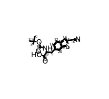 CC(C)(C)OC(=O)NC(Cc1ccc2cc(C#N)sc2c1)C(=O)O